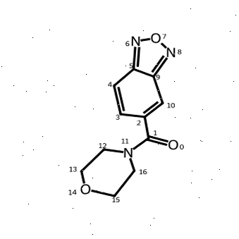 O=C(c1ccc2nonc2c1)N1CCOCC1